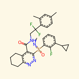 CN=S(=O)(c1cccc(C2CC2)c1F)c1nnc2c(c1C(=O)NCC(F)(F)c1ccc(C)cc1C)CCCC2